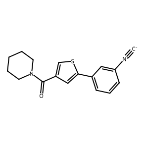 [C-]#[N+]c1cccc(-c2cc(C(=O)N3CCCCC3)cs2)c1